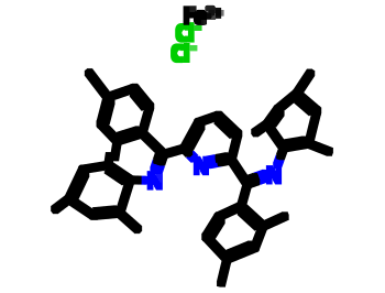 Cc1ccc(C(=Nc2c(C)cc(C)cc2C)c2cccc(C(=Nc3c(C)cc(C)cc3C)c3ccc(C)cc3C)n2)c(C)c1.[Cl-].[Cl-].[Fe+2]